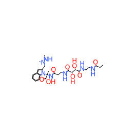 CCC(=O)NCCNC(=O)C(O)C(O)C(=O)NCCC(=O)N(C)C(C)(C(=O)O)n1c(CN(C)NC)cc2ccccc21